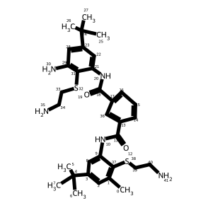 Cc1cc(C(C)(C)C)cc(NC(=O)c2cccc(C(=O)Nc3cc(C(C)(C)C)cc(N)c3SCCN)c2)c1SCCN